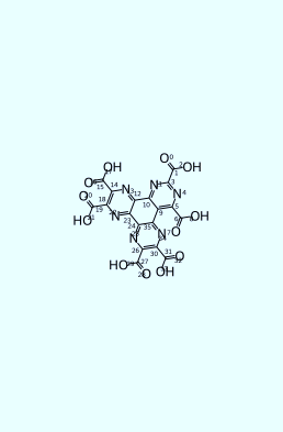 O=C(O)c1nc(C(=O)O)c2c(n1)c1nc(C(=O)O)c(C(=O)O)nc1c1nc(C(=O)O)c(C(=O)O)nc12